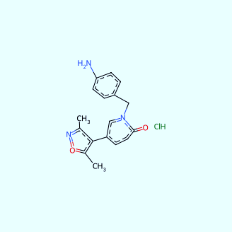 Cc1noc(C)c1-c1ccc(=O)n(Cc2ccc(N)cc2)c1.Cl